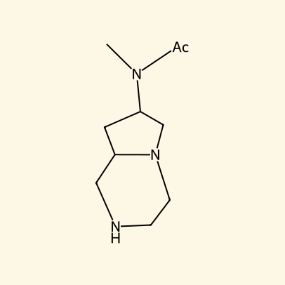 CC(=O)N(C)C1CC2CNCCN2C1